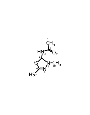 CC(=O)NC1SC(S)=NN1C